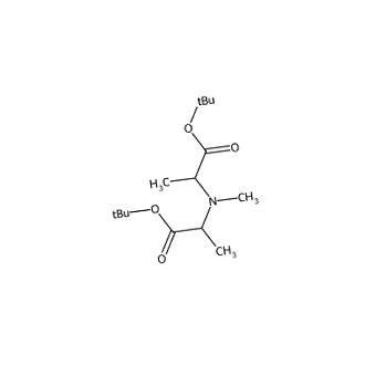 CC(C(=O)OC(C)(C)C)N(C)C(C)C(=O)OC(C)(C)C